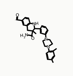 Cc1ccc(N2CCN(c3cccc(C4Nc5ccc([C]=O)cc5CC4(C)C(N)=O)c3)CC2)c(C)c1